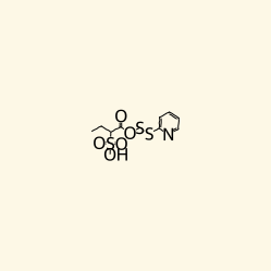 CCC(C(=O)OSSc1ccccn1)S(=O)(=O)O